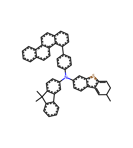 CC1C=c2c(sc3cc(N(c4ccc(-c5cccc6ccc7c8ccccc8ccc7c56)cc4)c4ccc5c(c4)-c4ccccc4C5(C)C)ccc23)=CC1